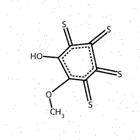 COc1c(O)c(=S)c(=S)c(=S)c1=S